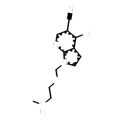 C[SiH](C)CCOCn1ccc2c(Cl)c(C#N)cnc21